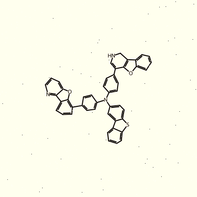 C1=C(c2ccc(N(c3ccc(-c4cccc5c4oc4cccnc45)cc3)c3ccc4sc5ccccc5c4c3)cc2)c2oc3ccccc3c2CN1